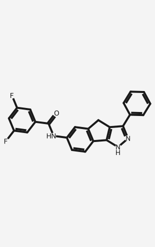 O=C(Nc1ccc2c(c1)Cc1c(-c3ccccc3)n[nH]c1-2)c1cc(F)cc(F)c1